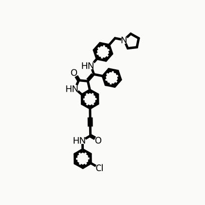 O=C(C#Cc1ccc2c(c1)NC(=O)/C2=C(\Nc1ccc(CN2CCCC2)cc1)c1ccccc1)Nc1cccc(Cl)c1